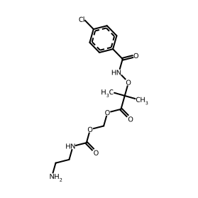 CC(C)(ONC(=O)c1ccc(Cl)cc1)C(=O)OCOC(=O)NCCN